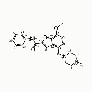 COc1ccc(CN2CCN(C)CC2)c2cc(C(=O)Nc3ccccc3)oc12